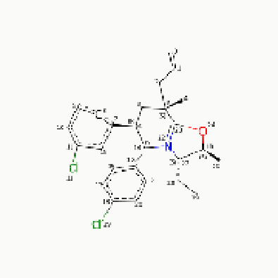 C=CC[C@@]1(C)C[C@H](c2cccc(Cl)c2)[C@@H](c2ccc(Cl)cc2)[N+]2=C1O[C@@H](C)[C@@H]2CC